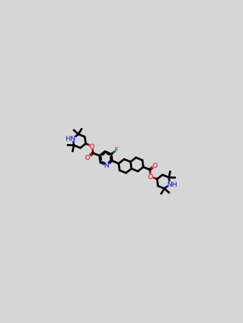 CC1(C)CC(OC(=O)c2cnc(C3CCC4CC(C(=O)OC5CC(C)(C)NC(C)(C)C5)CCC4C3)c(F)c2)CC(C)(C)N1